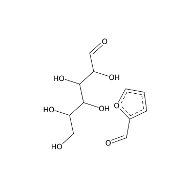 O=CC(O)C(O)C(O)C(O)CO.O=Cc1ccco1